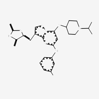 CC(C)N1CCC(Nc2cc(Nc3cccc(Cl)c3)nc3c(/C=C4\NC(=O)NC4=O)cnn23)CC1